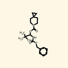 CC(C)(C)C(NC(=O)OCc1ccccc1)OC(=O)N1CCC2(CC1)CC2